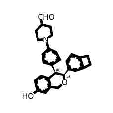 O=CC1CCN(c2ccc([C@@H]3c4ccc(O)cc4CO[C@@H]3c3ccc4c(c3)CC4)cc2)CC1